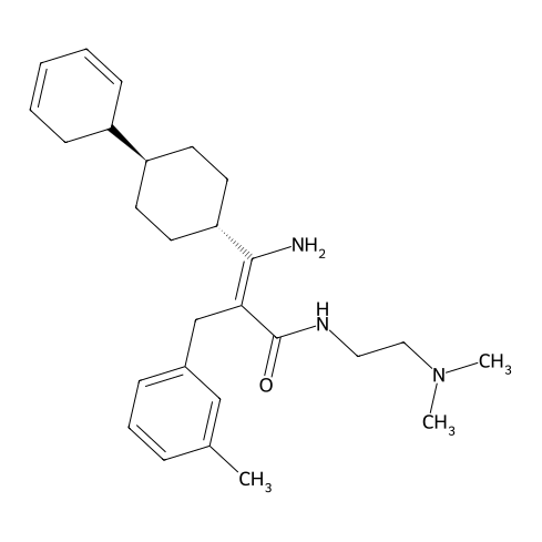 Cc1cccc(C/C(C(=O)NCCN(C)C)=C(/N)[C@H]2CC[C@H](C3C=CC=CC3)CC2)c1